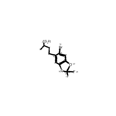 CCOC(=O)C(C)CCc1cc2c(cc1Br)OC(F)(F)O2